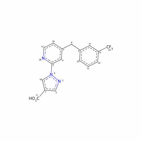 O=C(O)c1cnn(-c2cc(Cc3cccc(C(F)(F)F)c3)ccn2)c1